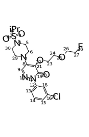 CC(C)S(=O)(=O)N1CCN(c2cnn(-c3cccc(Cl)c3)c(=O)c2OCCOCCF)CC1